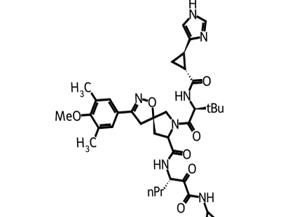 CCC[C@H](NC(=O)C1C[C@]2(CC(c3cc(C)c(OC)c(C)c3)=NO2)CN1C(=O)[C@@H](NC(=O)[C@@H]1C[C@H]1c1c[nH]cn1)C(C)(C)C)C(=O)C(=O)NC1CC1